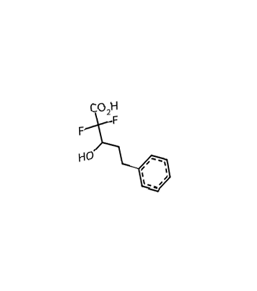 O=C(O)C(F)(F)C(O)CCc1ccccc1